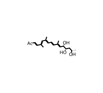 CC(=O)/C=C/C(C)=CC(C)=C/C=C/C(C)=C/[C@H](O)[C@@H](O)C[C@H](C)O